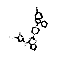 Cc1cc(Nc2nc(N3CCN(C(=O)C4(c5ccc(Cl)cc5)CCCC4)CC3)nn3cccc23)n[nH]1